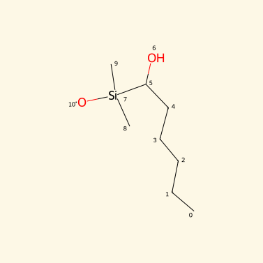 CCCCCC(O)[Si](C)(C)[O]